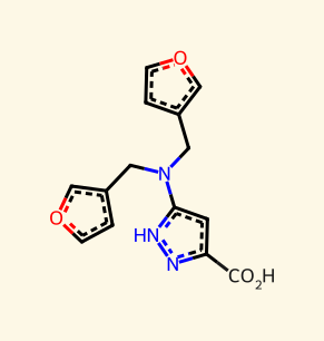 O=C(O)c1cc(N(Cc2ccoc2)Cc2ccoc2)[nH]n1